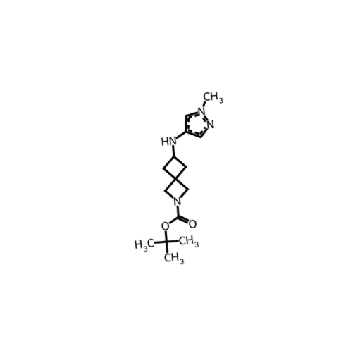 Cn1cc(NC2CC3(C2)CN(C(=O)OC(C)(C)C)C3)cn1